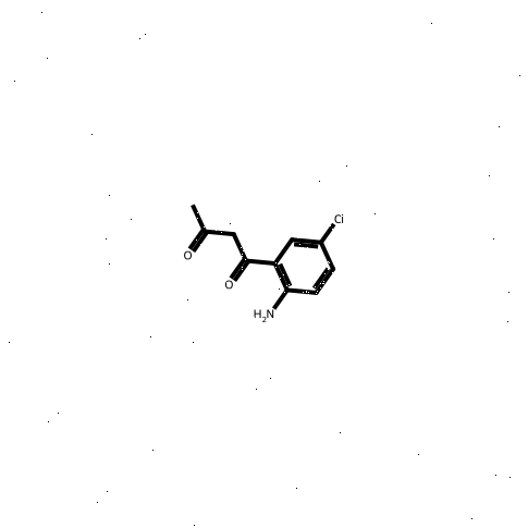 CC(=O)CC(=O)c1cc(Cl)ccc1N